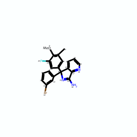 COc1c(C)cc(C2(c3cccc(Br)c3)N=C(N)c3ncccc32)cc1F